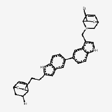 CCC1CC2C=CC1N(CCc1cc3cc(-c4ccc5[nH]cc(CN6CC7C=CC6C(CC)C7)c5c4)ccc3[nH]1)C2